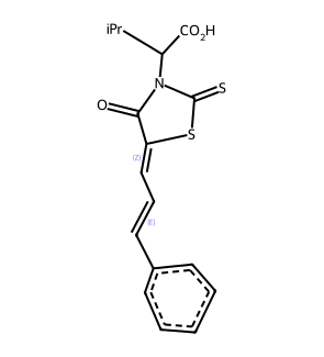 CC(C)C(C(=O)O)N1C(=O)/C(=C/C=C/c2ccccc2)SC1=S